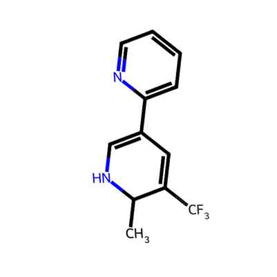 CC1NC=C(c2ccccn2)C=C1C(F)(F)F